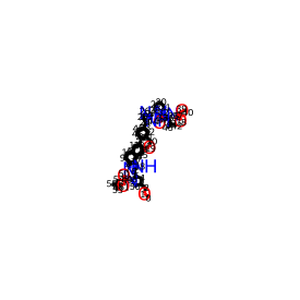 COCC1CC(c2nc3ccc4cc5c(cc4c3[nH]2)OCc2cc(-c3cnc([C@@H]4CCCN4C(=O)[C@@H](NC(=O)OC)C(C)C)[nH]3)ccc2-5)N(C(=O)OC(C)(C)C)C1